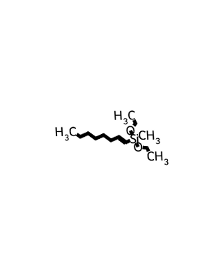 CCCCCC/C=C/[Si](C)(OCC)OCC